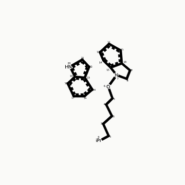 CC(C)CCCCCON1CCc2ccccc21.c1ccc2[nH]ccc2c1